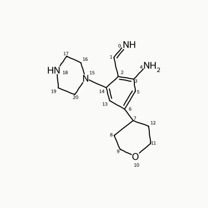 N=Cc1c(N)cc(C2CCOCC2)cc1N1CCNCC1